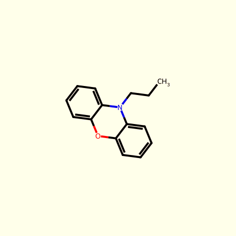 CCCN1c2ccccc2Oc2ccccc21